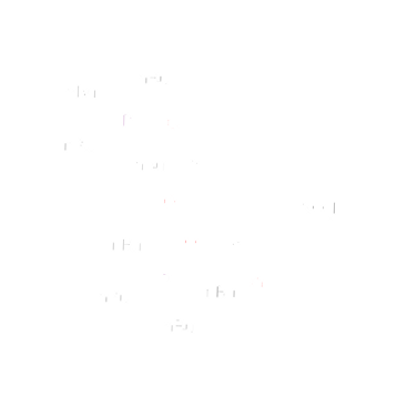 CCCCP(CCCC)(CCCC)(CCCC)OC(=O)CC(C(=O)OP(CCCC)(CCCC)(CCCC)CCCC)S(=O)(=O)O